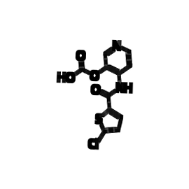 O=C(O)Oc1cnccc1NC(=O)c1ccc(Cl)s1